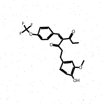 CCC(=O)C(=Cc1ccc(OC(F)(F)F)cc1)C(=O)CCc1ccc(O)c(OC)c1